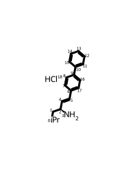 CC(C)C[C@H](N)/C=C/c1ccc(-c2ccccc2)cc1.Cl